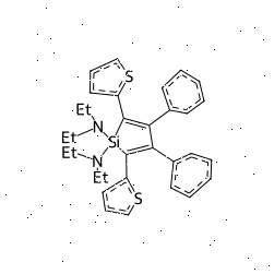 CCN(CC)[Si]1(N(CC)CC)C(c2cccs2)=C(c2ccccc2)C(c2ccccc2)=C1c1cccs1